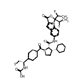 CC(F)C1(C(C)F)OC(=O)c2cc3cc(NC(=O)[C@@H]4[C@H](C5CCCCC5)CCN4C(=O)C4CCC([C@@H](CF)NC(=O)O)CC4)ccc3n21